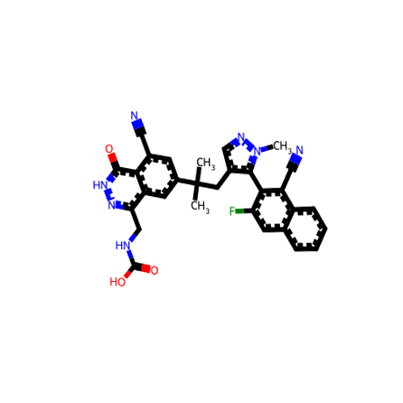 Cn1ncc(CC(C)(C)c2cc(C#N)c3c(=O)[nH]nc(CNC(=O)O)c3c2)c1-c1c(F)cc2ccccc2c1C#N